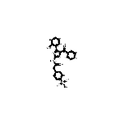 CCS(=O)(=O)c1ccc(CC(=O)Nc2nc(-c3ccccc3Cl)c(C(=O)c3ccccc3)s2)cc1